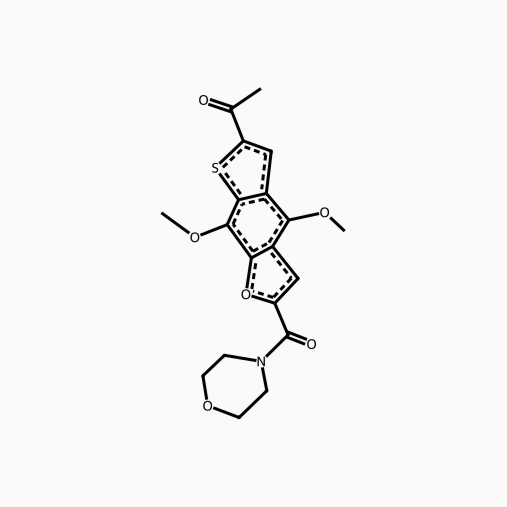 COc1c2cc(C(=O)N3CCOCC3)oc2c(OC)c2sc(C(C)=O)cc12